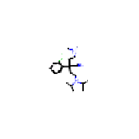 CC(C)N(CCC(C#N)(CCN(C)C)c1ccccc1Cl)C(C)C